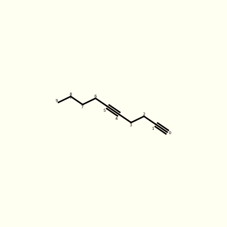 C#CCCC#CCC[CH]C